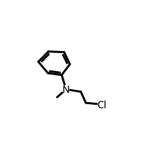 CN(CCCl)c1ccccc1